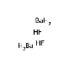 F.F.[BaH2].[BaH2]